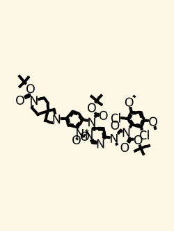 COc1cc(OC)c(Cl)c(N(C(=O)OC(C)(C)C)C(=O)N(C)c2cc(N(C(=O)OC(C)(C)C)c3ccc(N4CCC5(CCN(C(=O)OC(C)(C)C)CC5)C4)cc3[N+](=O)[O-])ncn2)c1Cl